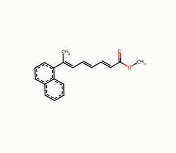 COC(=O)C=CC=CC=C(C)c1cccc2ccccc12